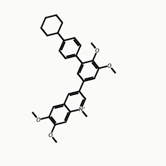 COc1cc2cc(-c3cc(OC)c(OC)c(-c4ccc(C5CCCCC5)cc4)c3)c[n+](C)c2cc1OC